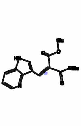 COC(=O)/C(=C/c1c[nH]c2cccnc12)C(=O)OC(C)(C)C